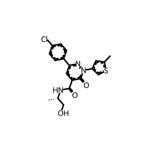 Cc1cc(-n2nc(-c3ccc(Cl)cc3)cc(C(=O)N[C@@H](C)CO)c2=O)cs1